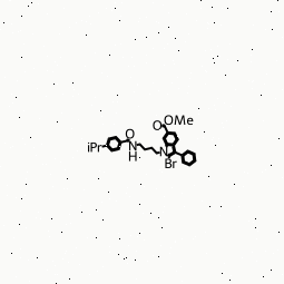 COC(=O)c1ccc2c(-c3ccccc3)c(Br)n(CCCCNC(=O)c3ccc(C(C)C)cc3)c2c1